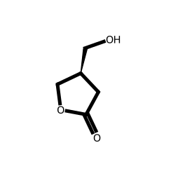 O=C1C[C@H](CO)CO1